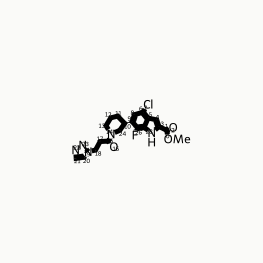 COC(=O)c1cc2c(Cl)cc([C@H]3CCCN(C(=O)CCn4ccnn4)C3)c(F)c2[nH]1